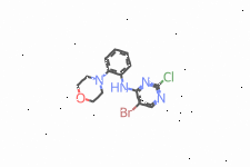 Clc1ncc(Br)c(Nc2ccccc2N2CCOCC2)n1